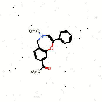 COC(=O)c1ccc2c(c1)OC(c1ccccc1)=CN(C=O)C2